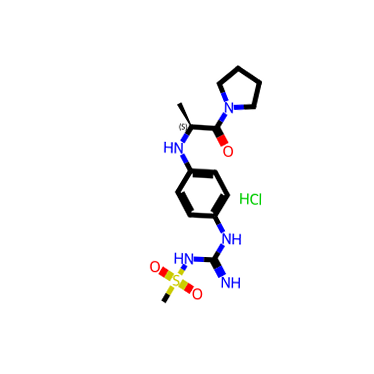 C[C@H](Nc1ccc(NC(=N)NS(C)(=O)=O)cc1)C(=O)N1CCCC1.Cl